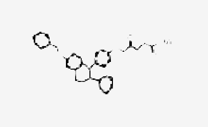 COC(=O)CCC(=O)COc1ccc(C2c3ccc(OCc4ccccc4)cc3CCC2c2ccccc2)cc1